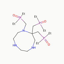 CCP(=O)(CC)CN1CCNCCNCC1(CP(=O)(CC)CC)CP(=O)(CC)CC